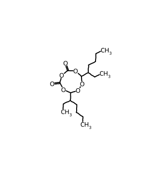 CCCCC(CC)C1OOC(C(CC)CCCC)OC(=O)OC(=O)O1